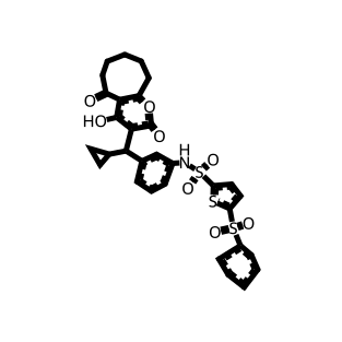 O=C1CCCCCc2oc(=O)c(C(c3cccc(NS(=O)(=O)c4ccc(S(=O)(=O)c5ccccc5)s4)c3)C3CC3)c(O)c21